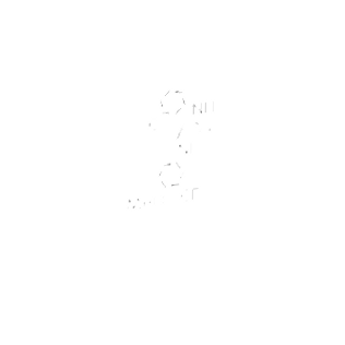 COc1ccc(NC=C2C(=O)Nc3cccc(C)c32)cc1C(F)(F)F